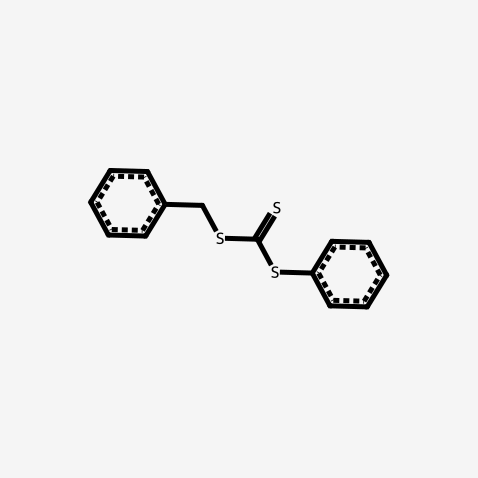 S=C(SCc1ccccc1)Sc1ccccc1